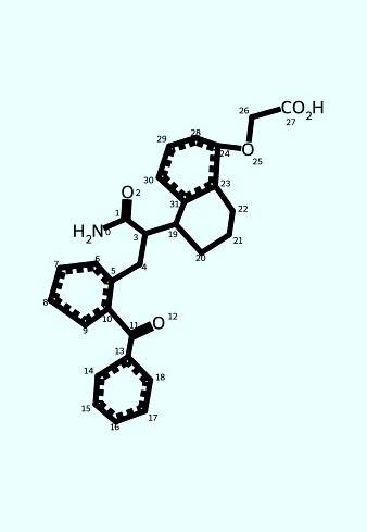 NC(=O)C(Cc1ccccc1C(=O)c1ccccc1)C1CCCc2c(OCC(=O)O)cccc21